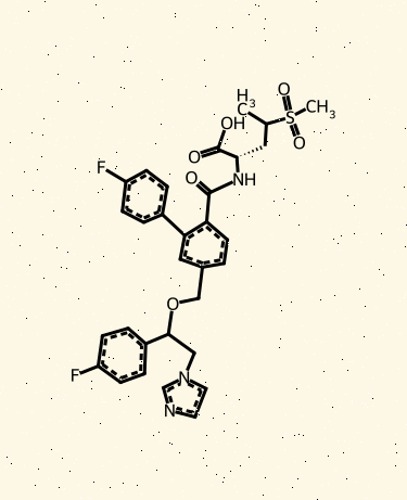 CC(C[C@H](NC(=O)c1ccc(COC(Cn2ccnc2)c2ccc(F)cc2)cc1-c1ccc(F)cc1)C(=O)O)S(C)(=O)=O